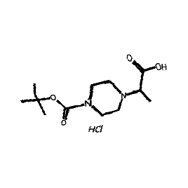 CC(C(=O)O)N1CCN(C(=O)OC(C)(C)C)CC1.Cl